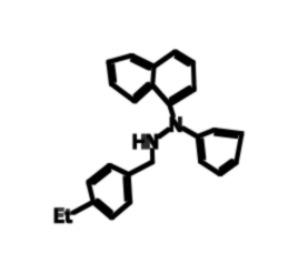 CCc1ccc(CNN(c2ccccc2)c2cccc3ccccc23)cc1